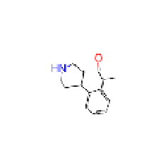 CC(C=O)c1ccccc1C1CCNCC1